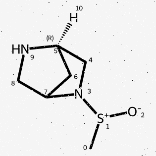 C[S+]([O-])N1C[C@H]2CC1CN2